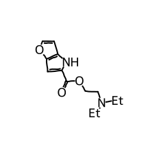 CCN(CC)CCOC(=O)c1cc2occc2[nH]1